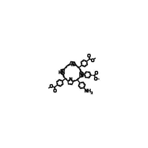 COC(=O)c1ccc(-c2c3nc(c(-c4ccc(N)cc4)c4ccc(c(-c5ccc(C(=O)OC)cc5)c5nc(cc6ccc2[nH]6)C=C5)n4-c2ccc(C(=O)OC)cc2)C=C3)cc1